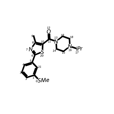 CSc1cccc(-c2nc(C)c(C(=O)N3CCN(C(C)C)CC3)s2)c1